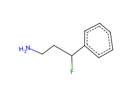 NCCC(F)c1ccccc1